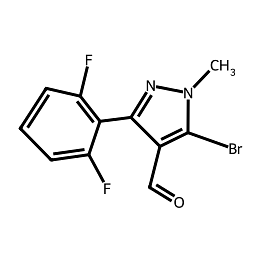 Cn1nc(-c2c(F)cccc2F)c(C=O)c1Br